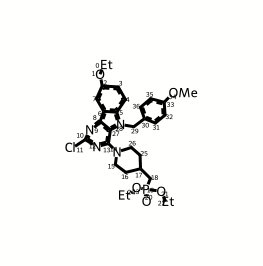 CCOc1ccc2c(c1)c1nc(Cl)nc(N3CCC(CP(=O)(OCC)OCC)CC3)c1n2Cc1ccc(OC)cc1